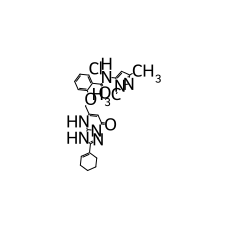 Cc1cc(NC(=O)c2c(Cl)cccc2OCC2=CC(=O)N3N=C(C4=CCCCC4)NC3N2)n(C)n1